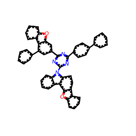 c1ccc(-c2ccc(-c3nc(-c4cc(-c5ccccc5)c5c(c4)oc4ccccc45)nc(-n4c5ccccc5c5c6oc7ccccc7c6ccc54)n3)cc2)cc1